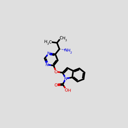 CC(C)[C@H](N)c1cc(Oc2cc3ccccc3n2C(=O)O)ncn1